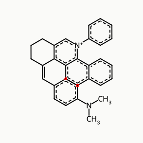 CN(C)c1ccc(/C=C2/CCCc3c[n+](-c4ccccc4)c4c(ccc5ccccc54)c32)cc1